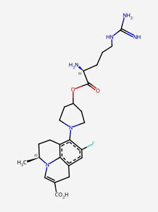 C[C@H]1CCc2c(N3CCC(OC(=O)[C@@H](N)CCCNC(=N)N)CC3)c(F)cc3c2N1C=C(C(=O)O)C3